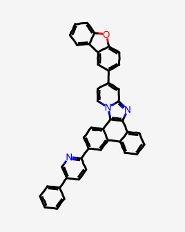 c1ccc(-c2ccc(-c3ccc4c(c3)c3ccccc3c3nc5cc(-c6ccc7oc8ccccc8c7c6)ccn5c43)nc2)cc1